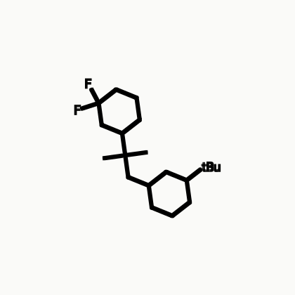 CC(C)(C)C1CCCC(CC(C)(C)C2CCCC(F)(F)C2)C1